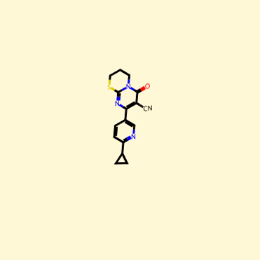 N#Cc1c(-c2ccc(C3CC3)nc2)nc2n(c1=O)CCCS2